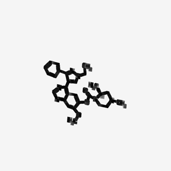 CCn1cc(-c2ncnc3cc(OC)c(OC(=O)N4CCN(C)C[C@@H]4C)cc23)c(-c2ccccc2)n1